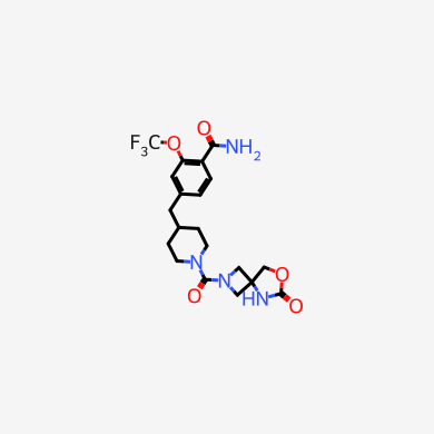 NC(=O)c1ccc(CC2CCN(C(=O)N3CC4(COC(=O)N4)C3)CC2)cc1OC(F)(F)F